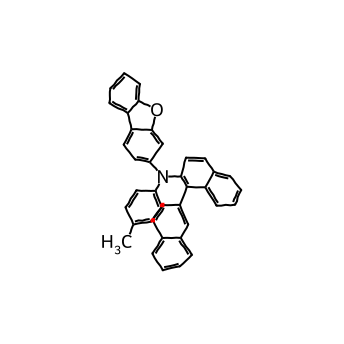 Cc1ccc(N(c2ccc3c(c2)oc2ccccc23)c2ccc3ccccc3c2-c2ccc3ccccc3c2)cc1